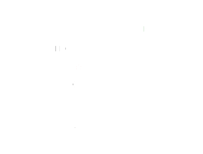 COc1cc(F)ccc1CC1(C)CC1